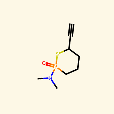 C#CC1CCCP(=O)(N(C)C)S1